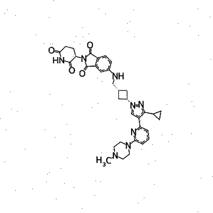 CN1CCN(c2cccc(-c3cn([C@H]4C[C@@H](CNc5ccc6c(c5)C(=O)N(C5CCC(=O)NC5=O)C6=O)C4)nc3C3CC3)n2)CC1